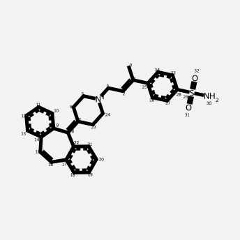 C/C(=C\CN1CCC(=C2c3ccccc3C=Cc3ccccc32)CC1)c1ccc(S(N)(=O)=O)cc1